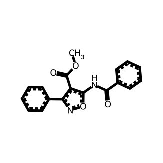 COC(=O)c1c(-c2ccccc2)noc1NC(=O)c1ccccc1